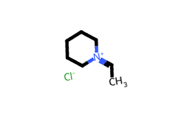 CC=[N+]1CCCCC1.[Cl-]